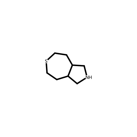 C1CC2CNCC2CCS1